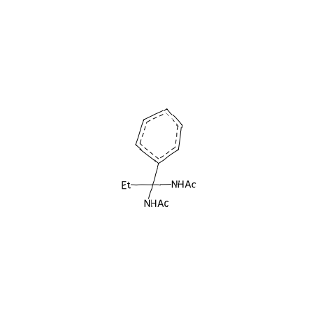 CCC(NC(C)=O)(NC(C)=O)c1ccccc1